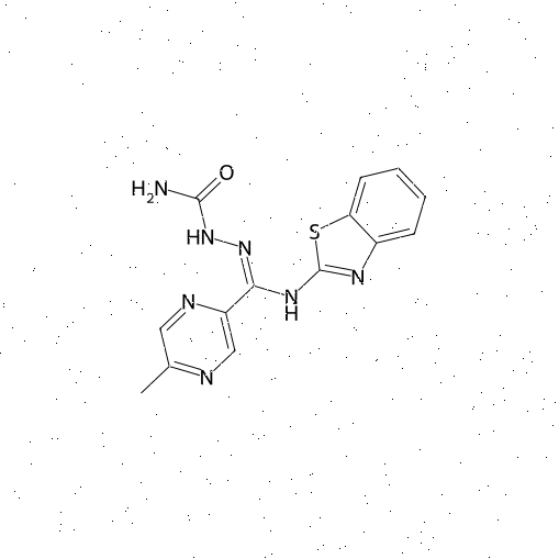 Cc1cnc(C(=NNC(N)=O)Nc2nc3ccccc3s2)cn1